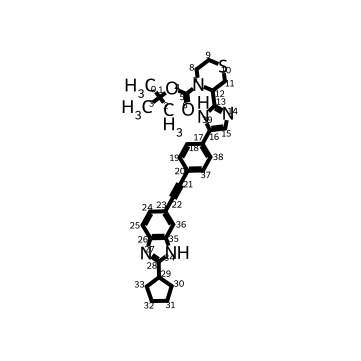 CC(C)(C)OC(=O)N1CCSCC1c1ncc(-c2ccc(C#Cc3ccc4nc(C5CCCC5)[nH]c4c3)cc2)[nH]1